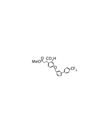 COC(=O)C[C@H](C(=O)O)c1ccc(OCc2cccc(-c3ccc(C(F)(F)F)cc3)c2)cc1